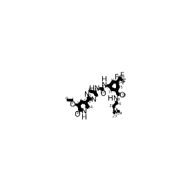 CCOc1cc(-c2ncc(NC(=O)Nc3cc(C(=O)NCCN(C)C)cc(C(F)(F)F)c3)cn2)c[nH]c1=O